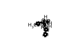 Cc1ccc(CNc2c(C(=O)N[C@H]3CC[C@@H](c4ccccc4)CC3)[nH]c(=O)[nH]c2=O)cc1